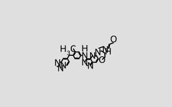 Cc1cc(Nc2ncnc3cc4c(nc23)N2CCN(C=CC=O)[C@@H](CO4)C2)ccc1Cc1ccn2ncnc2c1